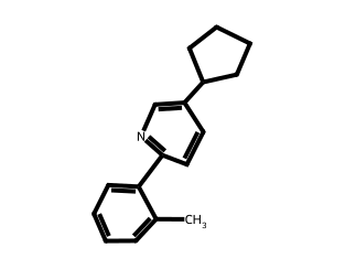 Cc1ccccc1-c1ccc(C2CCCC2)cn1